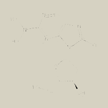 CN(C)c1ncc2nc(Cl)n([C@@H]3C[C@@H](O)[C@H](CO)O3)c2n1